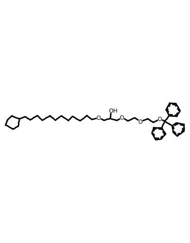 OC(COCCCCCCCCCCCCC1CCCCC1)COCCOCCOC(c1ccccc1)(c1ccccc1)c1ccccc1